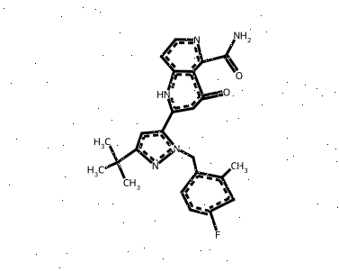 Cc1cc(F)ccc1Cn1nc(C(C)(C)C)cc1-c1cc(=O)c2c(C(N)=O)nccc2[nH]1